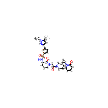 Cn1nc(-c2ccc(S(=O)(=O)N[C@H]3CCCN(CC(=O)N4CC5C[C@@H](C4)Cn4c5cccc4=O)C3=O)s2)cc1C(F)(F)F